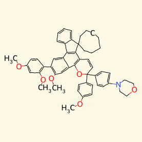 COc1ccc(C2(c3ccc(N4CCOCC4)cc3)C=Cc3c4c(c5cc(-c6ccc(OC)cc6OC)c(OC)cc5c3O2)-c2ccccc2C42CCCCCCC2)cc1